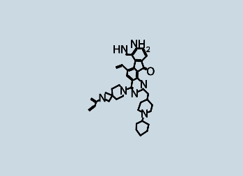 C=CC(=C)N1CC2(CCN(c3nc(CC4CCN(C5CCCCC5)CC4)nc4c5c(c(C=C)cc34)-c3c(ccc(N)c3C=N)C5=O)CC2)C1